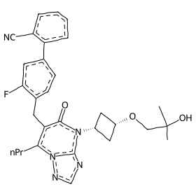 CCCc1c(Cc2ccc(-c3ccccc3C#N)cc2F)c(=O)n([C@H]2C[C@@H](OCC(C)(C)O)C2)c2ncnn12